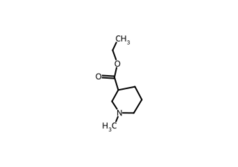 CCOC(=O)C1CCCN(C)C1